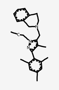 CCCn1nc(-c2c(C)cc(C)cc2C)c(C)c1CN1CCc2ccccc2C1